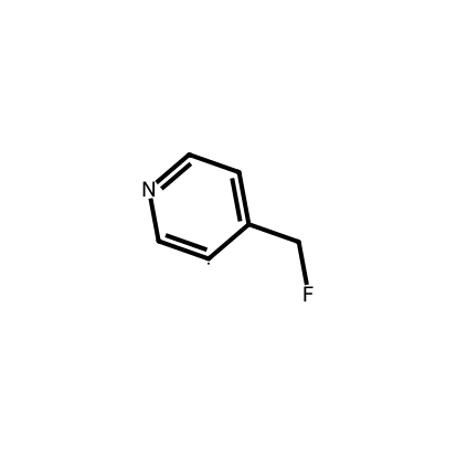 FCc1[c]cncc1